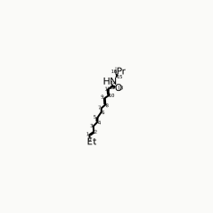 CCC=CCC=CCCC=CC=CC(=O)NCC(C)C